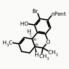 CCCCCc1cc2c(c(O)c1Br)[C@@H]1C=C(C)CC[C@H]1C(C)(C)O2